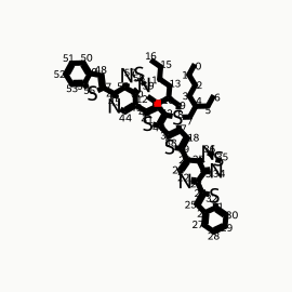 CCCCC(CC)CS1(CC(CC)CCCC)c2cc(-c3cnc(-c4cc5ccccc5s4)c4nsnc34)sc2-c2sc(-c3cnc(-c4cc5ccccc5s4)c4nsnc34)cc21